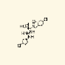 Cl.N=C(NCc1ccc(Cl)cc1Cl)NC(=N)Nc1ccc(Cl)cc1